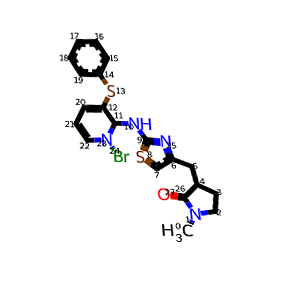 CN1CCC(Cc2csc(NC3C(Sc4ccccc4)=CC=CN3Br)n2)C1=O